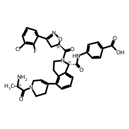 C[C@H](N)C(=O)N1CC=C(c2cccc3c2CCN(C(=O)[C@H]2CC(c4cccc(Cl)c4F)=NO2)[C@@H]3C(=O)Nc2ccc(C(=O)O)cc2)CC1